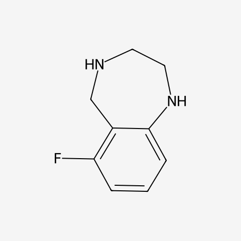 Fc1cccc2c1CNCCN2